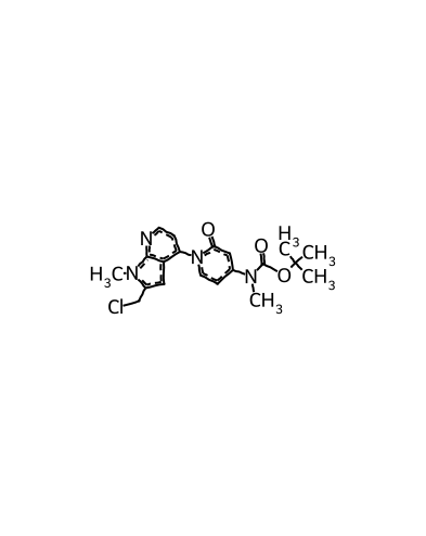 CN(C(=O)OC(C)(C)C)c1ccn(-c2ccnc3c2cc(CCl)n3C)c(=O)c1